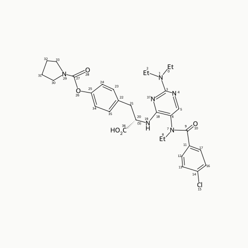 CCN(CC)c1ncc(N(CC)C(=O)c2ccc(Cl)cc2)c(N[C@@H](Cc2ccc(OC(=O)N3CCCC3)cc2)C(=O)O)n1